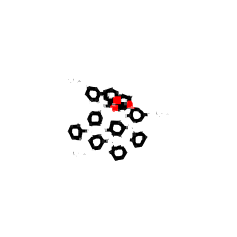 CSc1cc2c3c(c1)Oc1c(sc4ccc(F)cc14)B3c1cc3c(cc1O2)N(c1c(F)cccc1F)c1cc(SC)cc2c1B3c1cc3c(cc1N2c1c(F)cccc1F)N(c1c(F)cccc1F)c1cc(SC)cc2c1B3c1sc3ccc(F)cc3c1O2